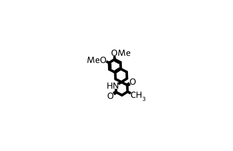 COc1cc2c(cc1OC)CC1(CC2)NC(=O)CC(C)C1=O